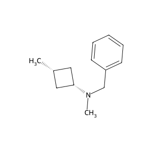 CN(Cc1ccccc1)[C@H]1C[C@@H](C)C1